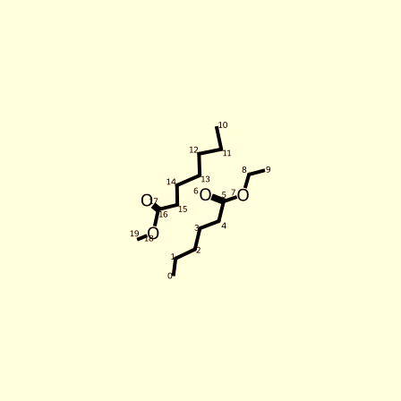 CCCCCC(=O)OCC.CCCCCCC(=O)OC